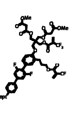 C=C(C(=O)OCCCc1cc(-c2c(F)cc(-c3ccc(CCCCCCC)cc3)cc2F)ccc1OCC(COC(=O)CC(=O)OC)(COC(=O)CC(=O)OC)COC(=O)C(=C)C(F)(F)F)C(F)(F)F